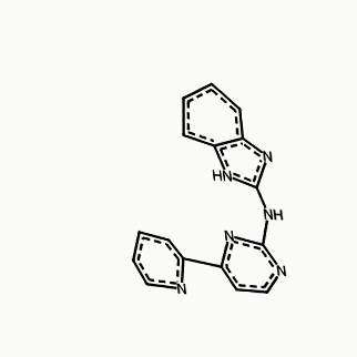 c1ccc(-c2ccnc(Nc3nc4ccccc4[nH]3)n2)nc1